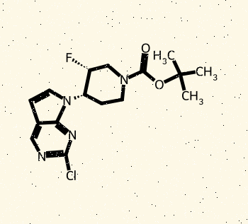 CC(C)(C)OC(=O)N1CC[C@H](n2ccc3cnc(Cl)nc32)[C@H](F)C1